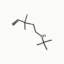 C=CC(C)(C)CCNC(C)(C)C